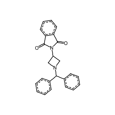 O=C1c2ccccc2C(=O)N1C1CN(C(c2ccccc2)c2ccccc2)C1